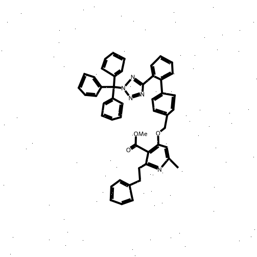 COC(=O)c1c(OCc2ccc(-c3ccccc3-c3nnn(C(c4ccccc4)(c4ccccc4)c4ccccc4)n3)cc2)cc(C)nc1CCc1ccccc1